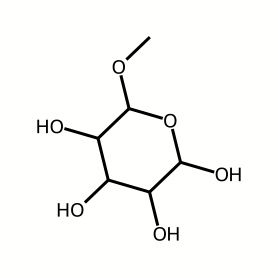 COC1OC(O)C(O)C(O)C1O